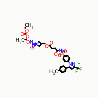 CCOC(=O)OC(C)O/N=[N+](\[O-])N1CC(COC(=O)CCC(=O)NS(=O)(=O)c2ccc(-n3nc(C(F)(F)F)cc3-c3ccc(C)cc3)cc2)C1